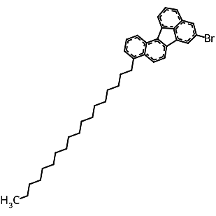 CCCCCCCCCCCCCCCCCCc1cccc2c3c(ccc12)-c1cc(Br)cc2cccc-3c12